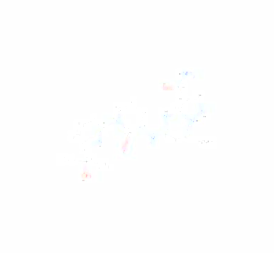 CNc1cc(Nc2cccn(-c3cccc(C(C)(C)O)n3)c2=O)nc2c(C(N)=O)cnn12